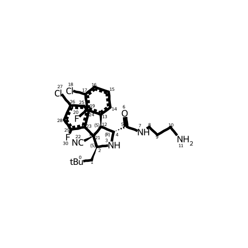 CC(C)(C)C[C@@H]1N[C@@H](C(=O)NCCCN)[C@H](c2cccc(Cl)c2F)[C@@]1(C#N)c1ccc(Cl)cc1F